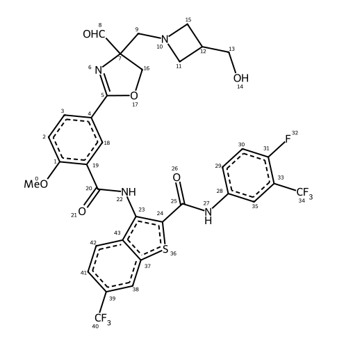 COc1ccc(C2=NC(C=O)(CN3CC(CO)C3)CO2)cc1C(=O)Nc1c(C(=O)Nc2ccc(F)c(C(F)(F)F)c2)sc2cc(C(F)(F)F)ccc12